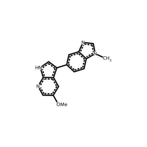 COc1cnc2[nH]cc(-c3ccc4c(c3)ncn4C)c2c1